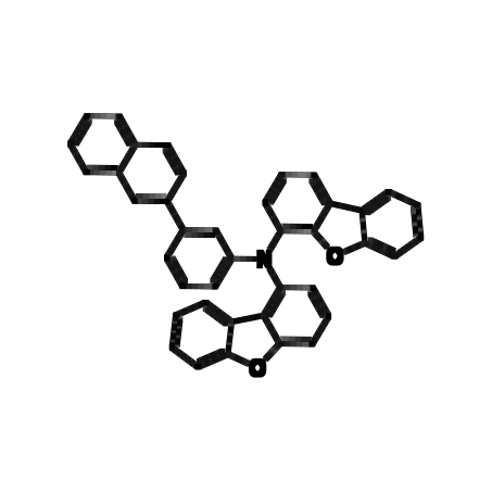 c1cc(-c2ccc3ccccc3c2)cc(N(c2cccc3c2oc2ccccc23)c2cccc3oc4ccccc4c23)c1